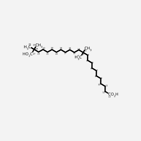 CC(C)(CCCCCCCCCCC(=O)O)CCCCCCCCCCC(C)(C)C(=O)O